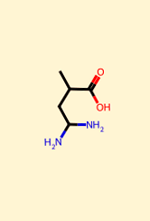 CC(CC(N)N)C(=O)O